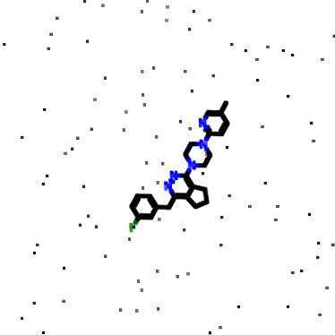 Cc1ccc(N2CCN(c3nnc(Cc4cccc(F)c4)c4c3CCC4)CC2)nc1